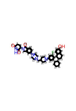 O=C1CC[C@H](N2Cc3cc(N4CCN(CC5CCN(c6ccc([C@H]7c8ccc(O)cc8CC[C@H]7C7CCCCC7)c(F)c6)CC5)CC4)ccc3C2=O)C(=O)N1